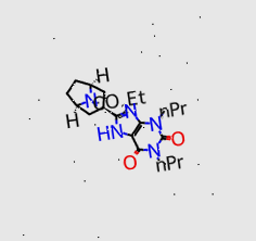 CCCn1c(=O)c2[nH]c([C@H]3C[C@H]4CC[C@@H](C3)N4C(=O)OCC)nc2n(CCC)c1=O